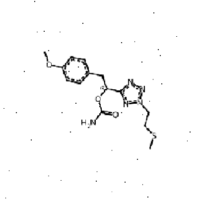 COc1ccc(C[C@H](OC(N)=O)c2nnn(CCSC)n2)cc1